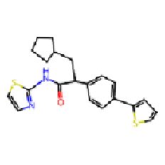 O=C(Nc1nccs1)C(CC1CCCC1)c1ccc(-c2cccs2)cc1